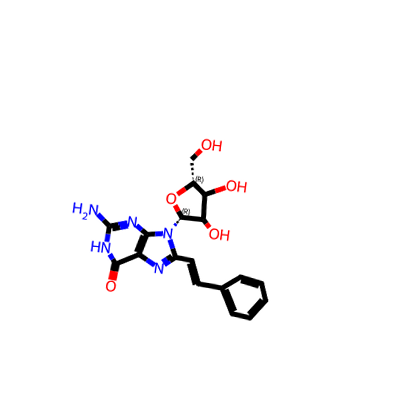 Nc1nc2c(nc(C=Cc3ccccc3)n2[C@@H]2O[C@H](CO)C(O)C2O)c(=O)[nH]1